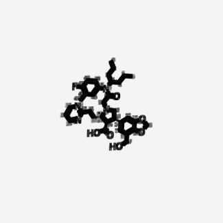 CCCC(CCC)N(C(=O)CN1C[C@H](c2cc(CO)c3c(c2)OCO3)[C@@H](C(=O)O)[C@@H]1CCc1ncccn1)c1ccc(F)c(C)c1